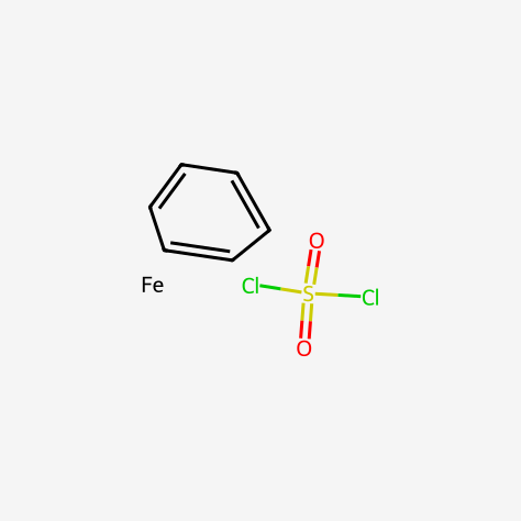 O=S(=O)(Cl)Cl.[Fe].c1ccccc1